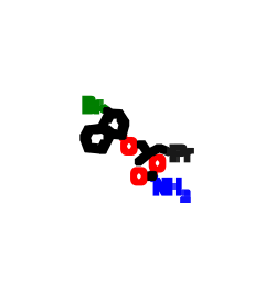 CC(C)CC(C)(COc1ccc(Br)c2ccccc12)OC(N)=O